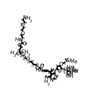 CSSCOC1C[C@H](n2cc(C#CNC(=O)OCCCCOCSSC(C)(C)CCOC(=O)NCCOCCOCCN)c3c(N)ncnc32)O[C@@H]1COP(=O)(O)O[PH](=O)O